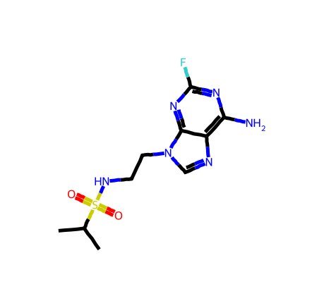 CC(C)S(=O)(=O)NCCn1cnc2c(N)nc(F)nc21